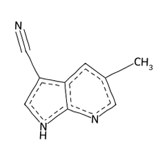 Cc1cnc2[nH]cc(C#N)c2c1